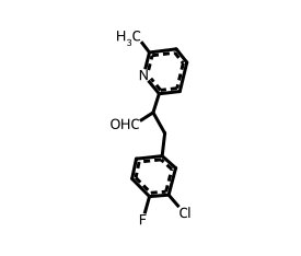 Cc1cccc(C(C=O)Cc2ccc(F)c(Cl)c2)n1